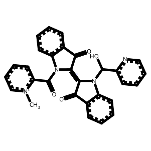 C[n+]1ccccc1C(=O)N1/C(=C2\C(=O)c3ccccc3N2C(O)c2ccccn2)C(=O)c2ccccc21